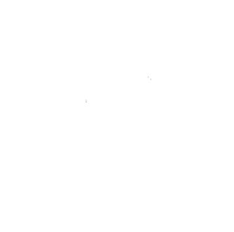 Clc1cccc(Br)c1-c1ccncc1